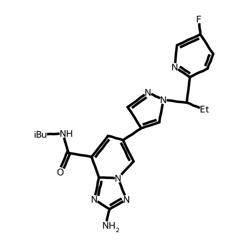 CCC(C)NC(=O)c1cc(-c2cnn(C(CC)c3ccc(F)cn3)c2)cn2nc(N)nc12